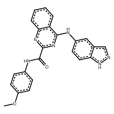 COc1ccc(NC(=O)c2nc(Nc3ccc4[nH]ncc4c3)c3ccccc3n2)cc1